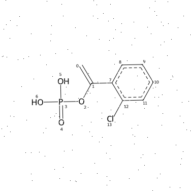 C=C(OP(=O)(O)O)c1ccccc1Cl